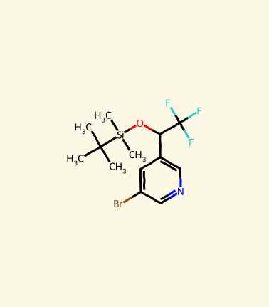 CC(C)(C)[Si](C)(C)OC(c1cncc(Br)c1)C(F)(F)F